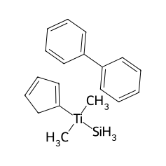 [CH3][Ti]([CH3])([SiH3])[C]1=CC=CC1.c1ccc(-c2ccccc2)cc1